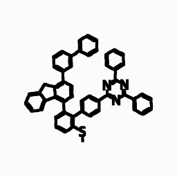 CSc1cccc(-c2ccc(-c3cccc(-c4ccccc4)c3)c3c2-c2ccccc2C3)c1-c1ccc(-c2nc(-c3ccccc3)nc(-c3ccccc3)n2)cc1